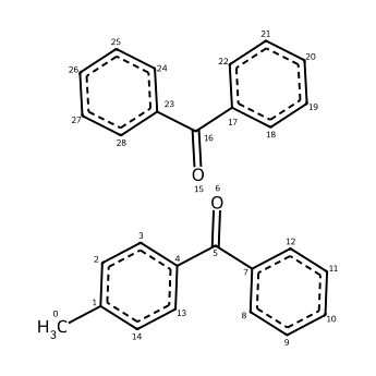 Cc1ccc(C(=O)c2ccccc2)cc1.O=C(c1ccccc1)c1ccccc1